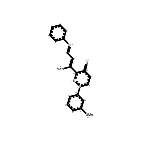 CN/C(=C\C=N\c1ccccc1)c1nn(-c2cccc(SC)c2)ccc1=O